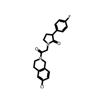 O=C(CN1CCC(c2ccc(F)cc2)C1=O)N1CCc2cc(Cl)ccc2C1